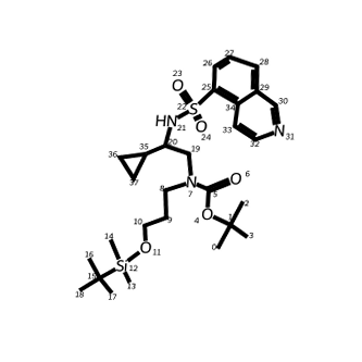 CC(C)(C)OC(=O)N(CCCO[Si](C)(C)C(C)(C)C)CC(NS(=O)(=O)c1cccc2cnccc12)C1CC1